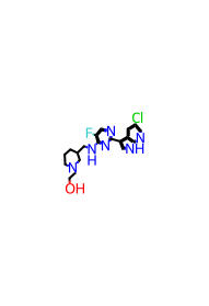 OCCN1CCCC(CNc2nc(-c3c[nH]c4ncc(Cl)cc34)ncc2F)C1